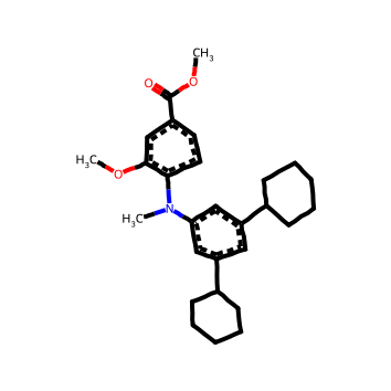 COC(=O)c1ccc(N(C)c2cc(C3CCCCC3)cc(C3CCCCC3)c2)c(OC)c1